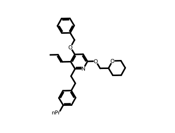 C/C=C/c1c(OCc2ccccc2)cc(OCC2CCCCO2)nc1CCc1ccc(CCC)cc1